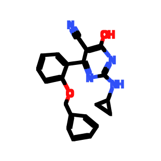 N#Cc1c(O)nc(NC2CC2)nc1-c1ccccc1OCc1ccccc1